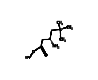 CCCOC(=O)C[C@@H](N)C[N+](C)(C)C